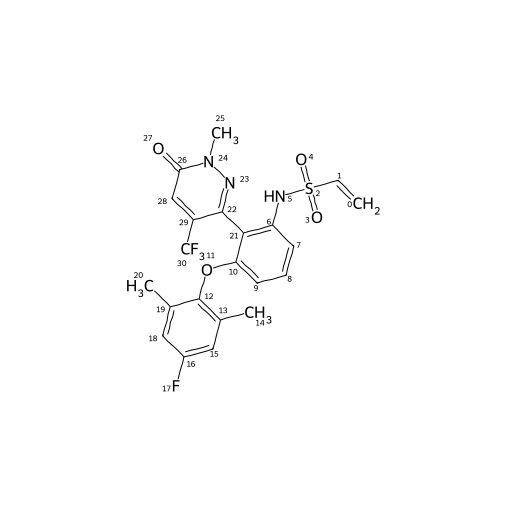 C=CS(=O)(=O)Nc1cccc(Oc2c(C)cc(F)cc2C)c1-c1nn(C)c(=O)cc1C(F)(F)F